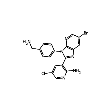 NCc1ccc(-n2c(-c3cc(Cl)cnc3N)nc3cc(Br)cnc32)cc1